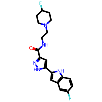 O=C(NCCN1CCC(F)CC1)c1cc(-c2cc3cc(F)ccc3[nH]2)[nH]n1